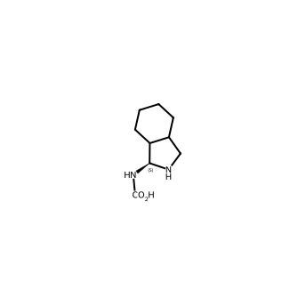 O=C(O)N[C@@H]1NCC2CCCCC21